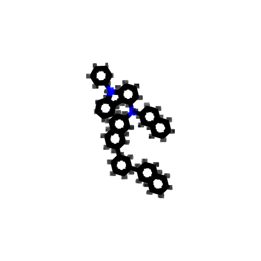 c1ccc(-n2c3ccccc3c3c(N(c4ccc5ccccc5c4)c4ccc5ccc(-c6cccc(-c7ccc8ccccc8c7)c6)cc5c4)cccc32)cc1